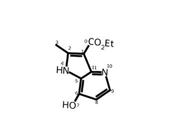 CCOC(=O)c1c(C)[nH]c2c(O)ccnc12